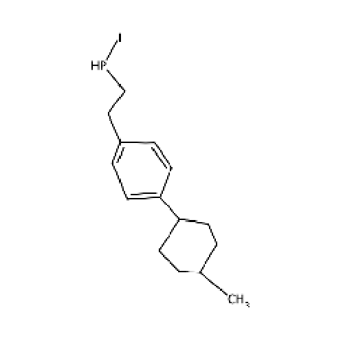 CC1CCC(c2ccc(CCPI)cc2)CC1